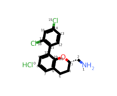 Cl.NC[C@@H]1CCc2cccc(-c3ccc(Cl)cc3Cl)c2O1